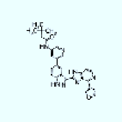 CC(C)(C)CC(=O)Nc1cncc(-c2ccc3[nH]nc(-c4nc5c(-c6ccoc6)nccc5[nH]4)c3c2)c1